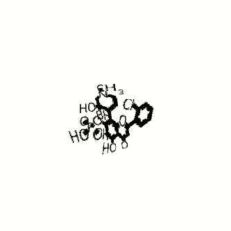 BC1(O)CN(C)CCC1c1c(OP(=O)(O)O)cc(O)c2c(=O)cc(-c3ccccc3Cl)oc12